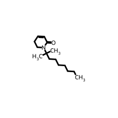 CCCCCCCC(C)(C)N1CCC=CC1=O